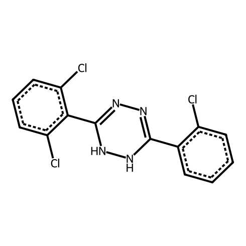 Clc1ccccc1C1=NN=C(c2c(Cl)cccc2Cl)NN1